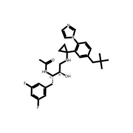 CC(=O)N[C@@H](Cc1cc(F)cc(F)c1)[C@H](O)CNC1(c2cc(CC(C)(C)C)ccc2-n2ccnc2)CC1